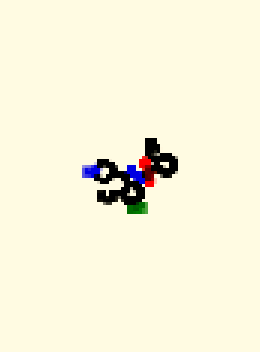 Cc1ccccc1S(=O)(=O)n1nc(C2CCNCC2)c2c(C)cccc21.Cl